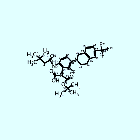 CC(C)(C)CC(=O)Nc1ccc(N2CCc3cc(C(F)(F)F)ccc3C2)c(F)c1N(C(=O)O)C(=O)OC(C)(C)C